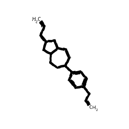 C=CCc1ccc(C2CCC3CC(CC=C)CC3CC2)cc1